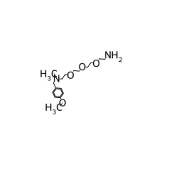 COc1ccc(CN(C)CCOCCOCCOCCN)cc1